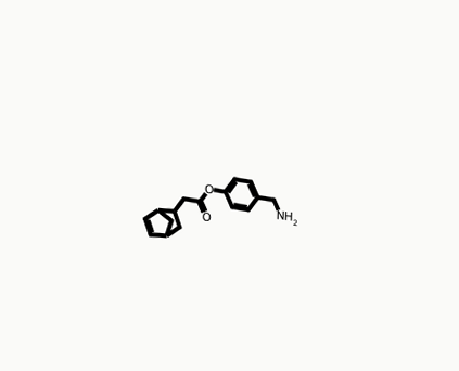 NCc1ccc(OC(=O)CC2CC3C=CC2C3)cc1